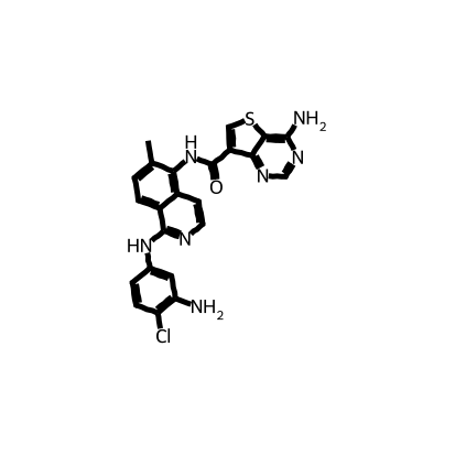 Cc1ccc2c(Nc3ccc(Cl)c(N)c3)nccc2c1NC(=O)c1csc2c(N)ncnc12